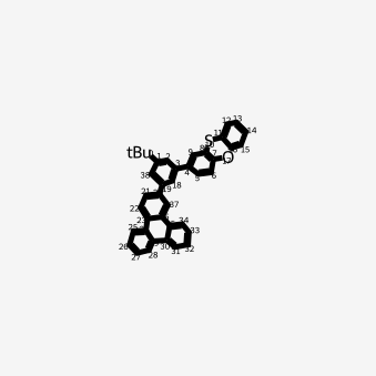 CC(C)(C)c1cc(-c2ccc3c(c2)Sc2ccccc2O3)cc(-c2ccc3c4ccccc4c4ccccc4c3c2)c1